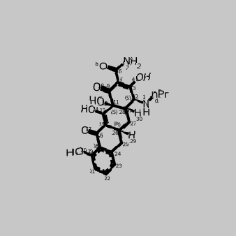 CCCN[C@@H]1C(O)=C(C(N)=O)C(=O)[C@@]2(O)C(O)=C3C(=O)c4c(O)cccc4C[C@H]3C[C@@H]12